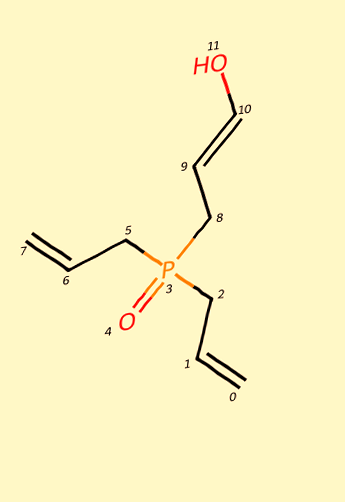 C=CCP(=O)(CC=C)CC=CO